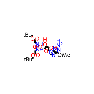 COc1nc(N)nc2c1ncn2[C@@H]1O[C@H](COP(=O)(NCC(=O)OCC(C)(C)C)NCC(=O)OCC(C)(C)C)[C@@H](O)[C@@]1(C)O